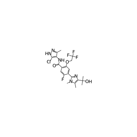 Cc1n[nH]c(Cl)c1NC(=O)c1cc(F)c(-c2nc(C(C)(C)O)c(C)n2C)cc1OCC(F)(F)F